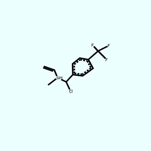 C=C[SiH](C)C(Cl)c1ccc(C(F)(F)F)cc1